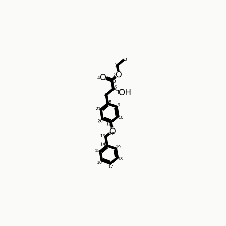 CCOC(=O)[C@H](O)Cc1ccc(OCc2ccccc2)cc1